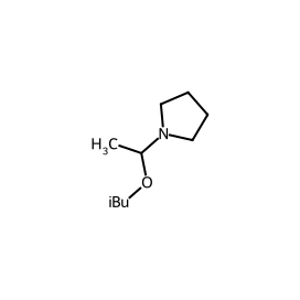 CCC(C)OC(C)N1CCCC1